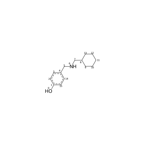 Oc1ccc(CNCC2CCCCC2)cc1